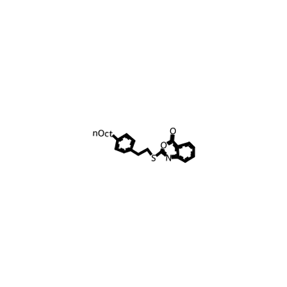 CCCCCCCCc1ccc(CCSc2nc3ccccc3c(=O)o2)cc1